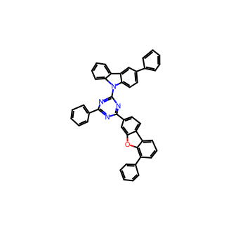 c1ccc(-c2ccc3c(c2)c2ccccc2n3-c2nc(-c3ccccc3)nc(-c3ccc4c(c3)oc3c(-c5ccccc5)cccc34)n2)cc1